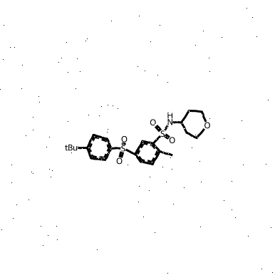 Cc1ccc(S(=O)(=O)c2ccc(C(C)(C)C)cc2)cc1S(=O)(=O)NC1CCOCC1